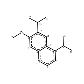 COc1cc2nccc(C(C)C)c2cc1C(C)C